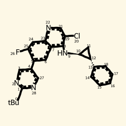 CC(C)(C)c1ncc(-c2cc3c(N[C@H]4C[C@@H]4c4ccccc4)c(Cl)cnc3cc2F)cn1